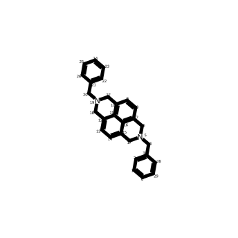 c1ccc(CN2Cc3ccc4c5c(ccc(c35)C2)CN(Cc2ccccc2)C4)cc1